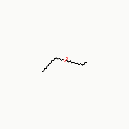 CC/C=C\CCCCCCCCC(=O)OCCCC/C=C\CCCCCCCCCC